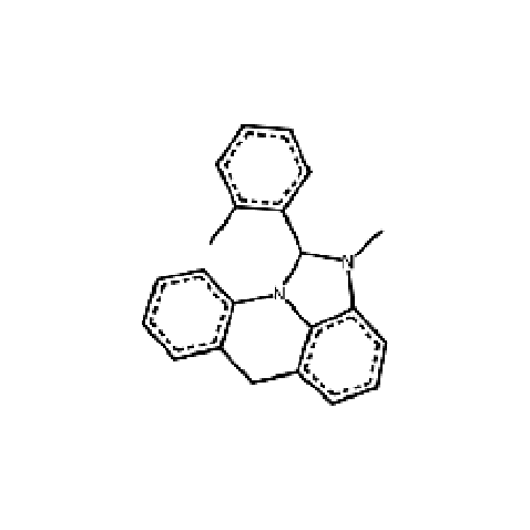 Cc1ccccc1C1N(C)c2cccc3c2N1c1ccccc1C3